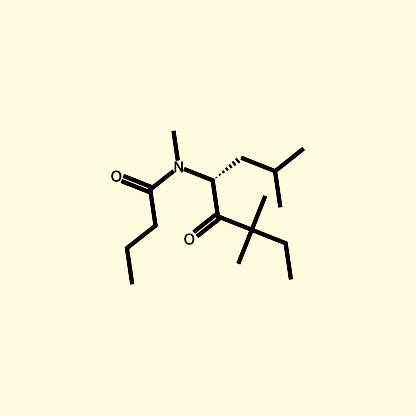 CCCC(=O)N(C)[C@H](CC(C)C)C(=O)C(C)(C)CC